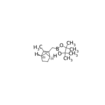 CC1=C(CB2OC(C)(C)C(C)(C)O2)[C@H]2CC[C@H]1C2